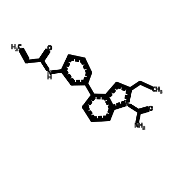 C=CC(=O)Nc1cccc(-c2cccc3c2cc(CC)n3C(N)=O)c1